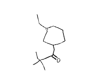 CCN1CCCC(C(=O)C(C)(C)C)C1